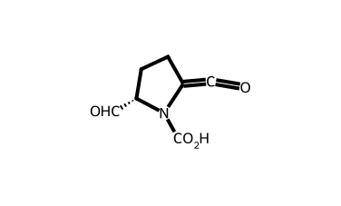 O=C=C1CC[C@@H](C=O)N1C(=O)O